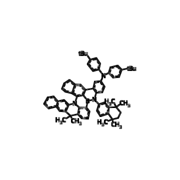 CC(C)(C)c1ccc(N(c2ccc(C(C)(C)C)cc2)c2ccc3c(c2)-c2cc4ccccc4c4c2B(c2cccc5c2N4c2cc4ccccc4cc2C5(C)C)N3c2ccc3c(c2)C(C)(C)CCC3(C)C)cc1